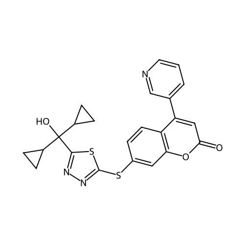 O=c1cc(-c2cccnc2)c2ccc(Sc3nnc(C(O)(C4CC4)C4CC4)s3)cc2o1